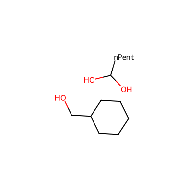 CCCCCC(O)O.OCC1CCCCC1